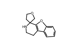 c1ccc2c3c(oc2c1)C1(CCOC1)NCC3